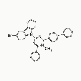 CN1C(c2ccccc2)=NC(n2c3ccccc3c3cc(Br)ccc32)=NC1c1ccc(-c2ccccc2)cc1